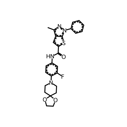 Cc1nn(-c2ccccc2)c2sc(C(=O)Nc3ccc(N4CCC5(CC4)OCCO5)c(F)c3)cc12